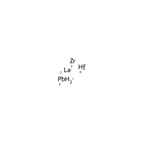 [Hf].[La].[PbH2].[Zr]